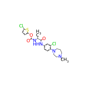 CC(NC(=O)Oc1ccc(Cl)s1)C(=O)Nc1ccc(N2CCCN(C)CC2)c(Cl)c1